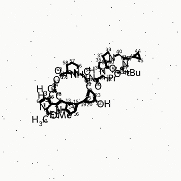 CCn1c(-c2cccnc2[C@H](C)OC)c2c3cc(ccc31)-c1cc(O)cc(c1)C[C@H](NC(=O)[C@H](C(C)C)N1CC[C@]3(CCN(C[C@H]4[C@@H](C5CC5)N4[S+]([O-])C(C)(C)C)C3)C1=O)C(=O)N1CCC[C@H](N1)C(=O)OCC(C)(C)C2